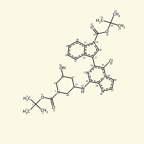 CC(C)(C)OC(=O)N1CC(O)CC(Nc2nc(-c3cn(C(=O)OC(C)(C)C)c4ccccc34)c(Cl)n3ccnc23)C1